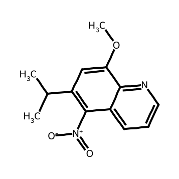 COc1cc(C(C)C)c([N+](=O)[O-])c2cccnc12